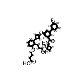 O=C(O)CCCOc1cccc(C2CC(Oc3cc(C(=O)NC4CCC4)cc(-c4cccc(F)c4)c3)C2)c1CCC(=O)O